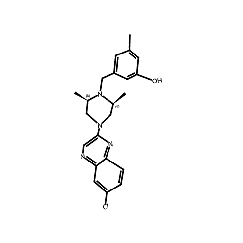 Cc1cc(O)cc(CN2[C@H](C)CN(c3cnc4cc(Cl)ccc4n3)C[C@@H]2C)c1